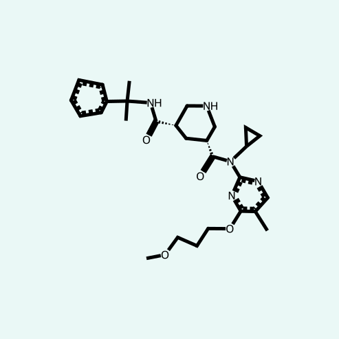 COCCCOc1nc(N(C(=O)[C@H]2CNC[C@@H](C(=O)NC(C)(C)c3ccccc3)C2)C2CC2)ncc1C